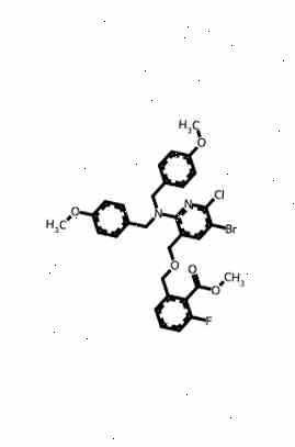 COC(=O)c1c(F)cccc1COCc1cc(Br)c(Cl)nc1N(Cc1ccc(OC)cc1)Cc1ccc(OC)cc1